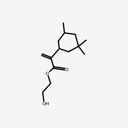 C=C(C(=O)OCCO)C1CC(C)CC(C)(C)C1